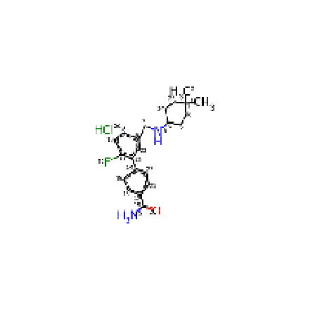 CC1(C)CCC(NCc2ccc(F)c(-c3ccc(C(N)=O)cc3)c2)CC1.Cl